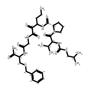 CCCC(NC(=O)[C@@H]1CCCN1C(=O)C(NC(=O)OCC(C)C)C(C)C)C(=O)C(=O)NCC(=O)NC(COCc1ccccc1)C(N)=O